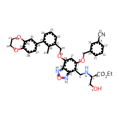 CCOC(=O)[C@@H](CO)NCc1c(OCc2cccc(C#N)c2)cc(OCc2cccc(-c3ccc4c(c3)OCCO4)c2C)c2nonc12